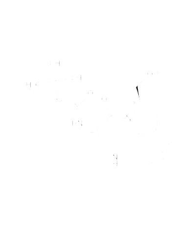 CC(C)(C)OC(=O)N[C@H]1CNc2cccc3c2N(C1=O)[C@@H](CO)C3